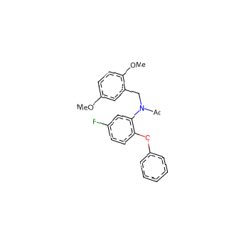 COc1ccc(O[11CH3])c(CN(C(C)=O)c2cc(F)ccc2Oc2ccccc2)c1